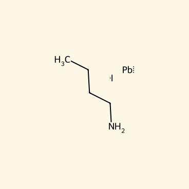 CCCCN.[I].[Pb]